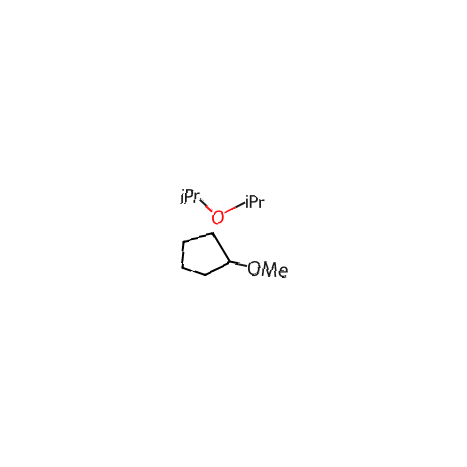 CC(C)OC(C)C.COC1CCCC1